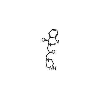 O=C(CN1CCNCC1)Cn1cnc2ccccc2c1=O